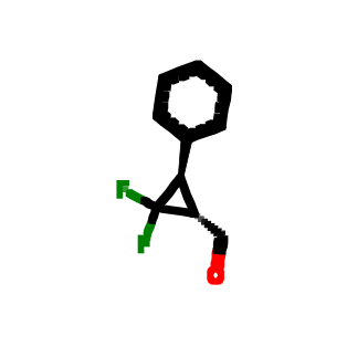 O=C[C@H]1[C@H](c2ccccc2)C1(F)F